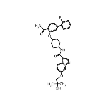 CC(C)(O)COc1ccc2c(C(=O)NC3CCC(Oc4cc(-c5ccccc5F)ccc4C(N)=O)CC3)cnn2c1